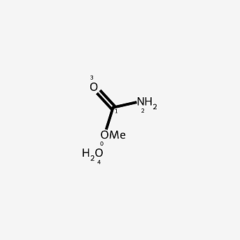 COC(N)=O.O